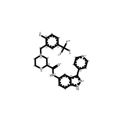 O=C(Nc1ccc2[nH]nc(-c3ccncc3)c2c1)C1CN(Cc2cc(C(F)(F)F)ccc2F)CCO1